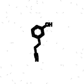 N#CCCc1cccc(O)c1